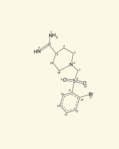 N=C(N)C1CCN(CS(=O)(=O)c2ccccc2Br)CC1